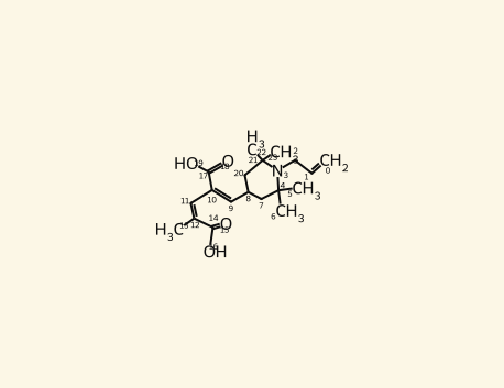 C=CCN1C(C)(C)CC(C=C(C=C(C)C(=O)O)C(=O)O)CC1(C)C